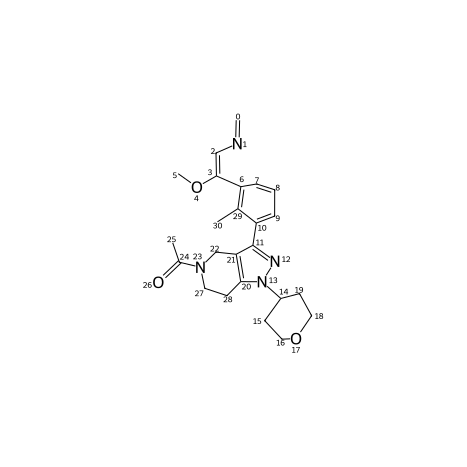 C=N/C=C(/OC)c1cccc(-c2nn(C3CCOCC3)c3c2CN(C(C)=O)CC3)c1C